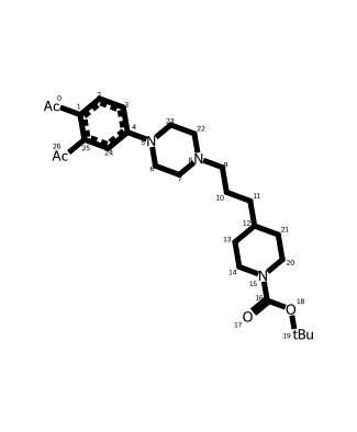 CC(=O)c1ccc(N2CCN(CCCC3CCN(C(=O)OC(C)(C)C)CC3)CC2)cc1C(C)=O